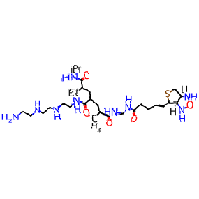 CCC(CC(CC(C)C(=O)NCNC(=O)CCCC[C@H]1SC[C@H]2NON[C@H]21)C(=O)NCCNCCNCCN)C(=O)NC(C)C